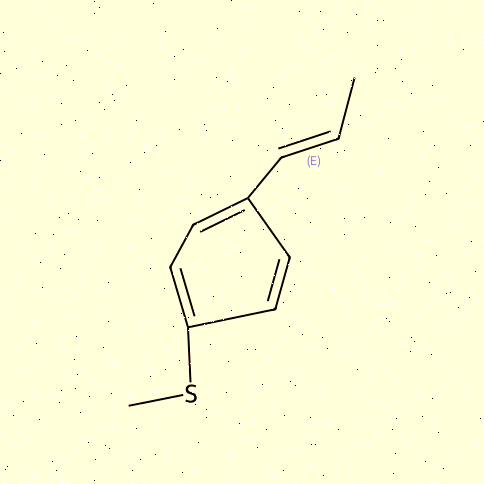 C/C=C/c1ccc(SC)cc1